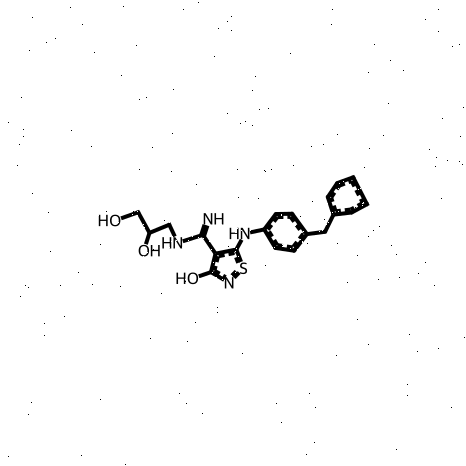 N=C(NCC(O)CO)c1c(O)nsc1Nc1ccc(Cc2ccccc2)cc1